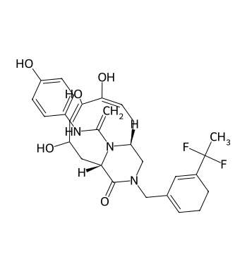 C=C(Nc1ccc(O)cc1)N1[C@@H]2C/C=C(O)\C(O)=C/C(O)C[C@H]1C(=O)N(CC1=CCCC(C(C)(F)F)=C1)C2